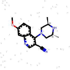 COc1ccc2c(N3C[C@@H](C)N[C@H](C)C3)c(C#N)cnc2c1